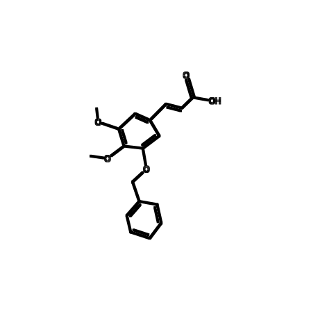 COc1cc(/C=C/C(=O)O)cc(OCc2ccccc2)c1OC